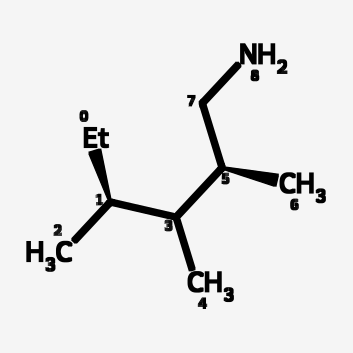 CC[C@H](C)C(C)[C@H](C)CN